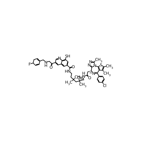 Cc1sc2c(c1C)C(c1ccc(Cl)cc1)=N[C@@H](CC(=O)NCC(C)(C)CC(C)(C)CCNC(=O)c1cc(S)c3ncc(C(=O)CNCC4=CCC(F)C=C4)cc3c1)c1nnc(C)n1-2